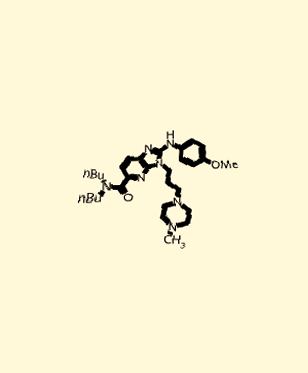 CCCCN(CCCC)C(=O)c1ccc2nc(Nc3ccc(OC)cc3)n(CCCN3CCN(C)CC3)c2n1